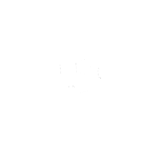 Cc1ccc2c(c1)C1=C(N=NC1C[C@H](C)N)C2(C)C